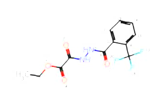 CCOC(=O)C(=O)NNC(=O)c1ccccc1C(F)(F)F